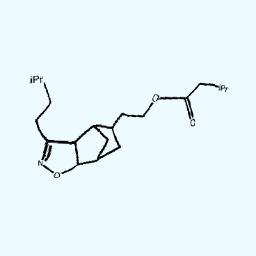 CC(C)CCC1=NOC2C3CC(CCOC(=O)CC(C)C)C(C3)C12